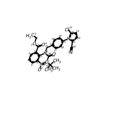 CCOC(=O)c1cccc([N+](=O)[O-])c1N(Cc1ccc(-n2c(Cl)ccc2C#N)cc1)C(=O)OC(C)(C)C